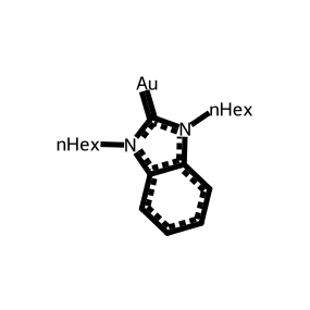 CCCCCCn1[c](=[Au])n(CCCCCC)c2ccccc21